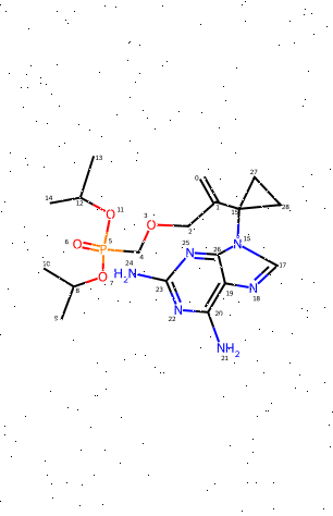 C=C(COCP(=O)(OC(C)C)OC(C)C)C1(n2cnc3c(N)nc(N)nc32)CC1